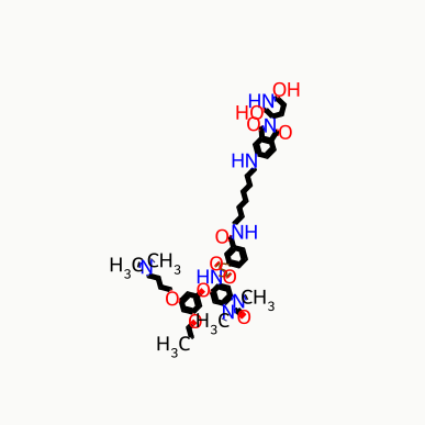 CCCOc1cc(OCCCCN(C)C)cc(Oc2cc3c(cc2NS(=O)(=O)c2cccc(C(=O)NCCCCCCCCNc4ccc5c(c4)C(=O)N(C4CCC(O)NC4O)C5=O)c2)n(C)c(=O)n3C)c1